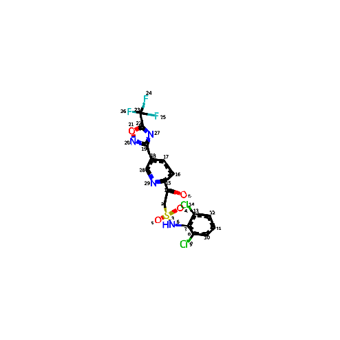 O=C(CS(=O)(=O)Nc1c(Cl)cccc1Cl)c1ccc(-c2noc(C(F)(F)F)n2)cn1